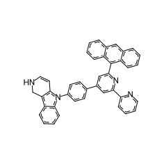 C1=Cc2c(c3ccccc3n2-c2ccc(-c3cc(-c4ccccn4)nc(-c4c5ccccc5cc5ccccc45)c3)cc2)CN1